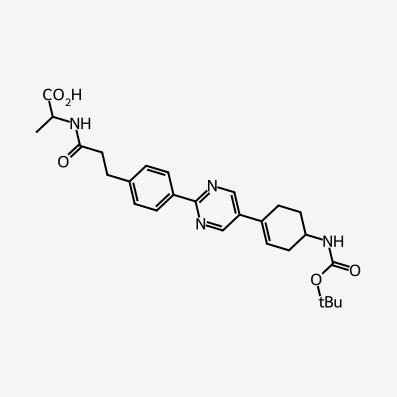 CC(NC(=O)CCc1ccc(-c2ncc(C3=CCC(NC(=O)OC(C)(C)C)CC3)cn2)cc1)C(=O)O